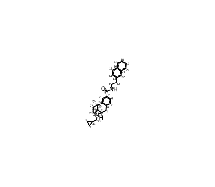 C[C@@H]1[C@H]2Cc3ccc(C(=O)NCCc4ccc5ccccc5c4)cc3[C@]1(C)CCN2CC1CC1